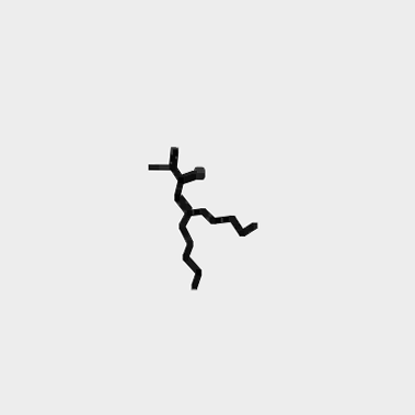 C=C(C)C(=O)C=C(CCCCC)CCCCC